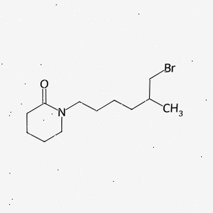 CC(CBr)CCCCN1CCCCC1=O